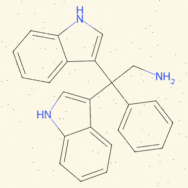 NCC(c1ccccc1)(c1c[nH]c2ccccc12)c1c[nH]c2ccccc12